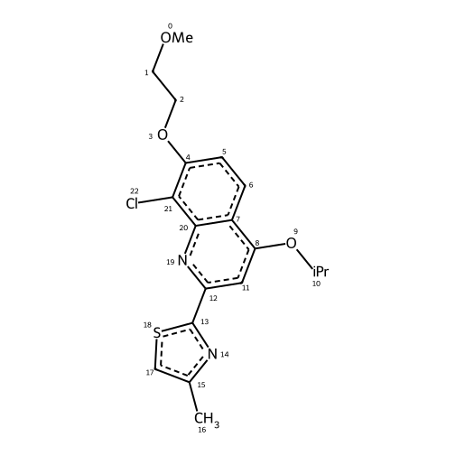 COCCOc1ccc2c(OC(C)C)cc(-c3nc(C)cs3)nc2c1Cl